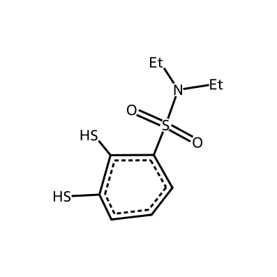 CCN(CC)S(=O)(=O)c1cccc(S)c1S